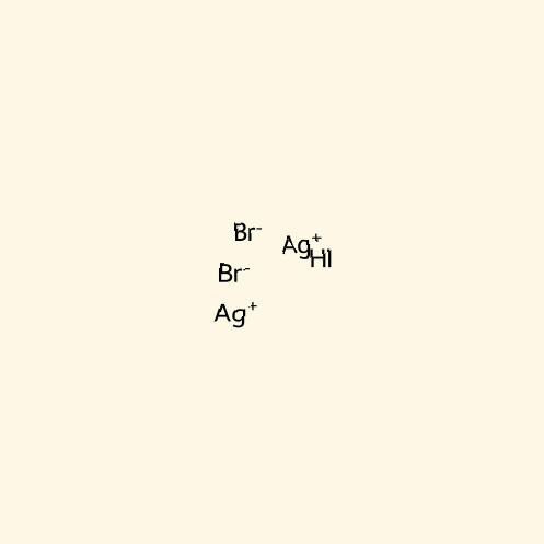 I.[Ag+].[Ag+].[Br-].[Br-]